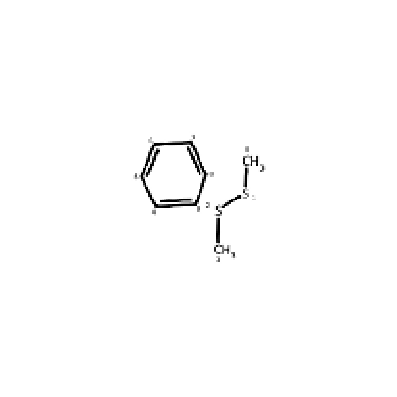 CSSC.c1ccccc1